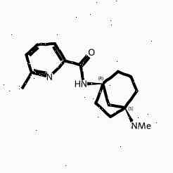 CN[C@@]12CCC[C@@](NC(=O)c3cccc(C)n3)(CC1)C2